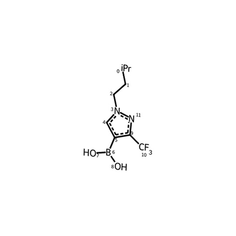 CC(C)CCn1cc(B(O)O)c(C(F)(F)F)n1